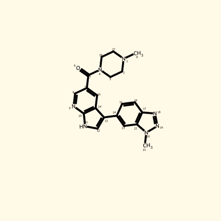 CN1CCN(C(=O)c2cnc3[nH]cc(-c4ccc5nnn(C)c5c4)c3c2)CC1